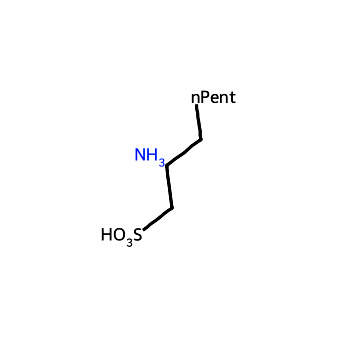 CCCCCCCCS(=O)(=O)O.N